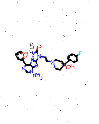 CN1C(=O)N(CCN2CCC(O)(c3ccc(F)cc3)CC2)C2N=C3C(=C(c4ccco4)N=CN3N)N21